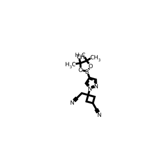 CC1(C)OB(c2cnn(C3(CC#N)CC(C#N)C3)c2)OC1(C)C